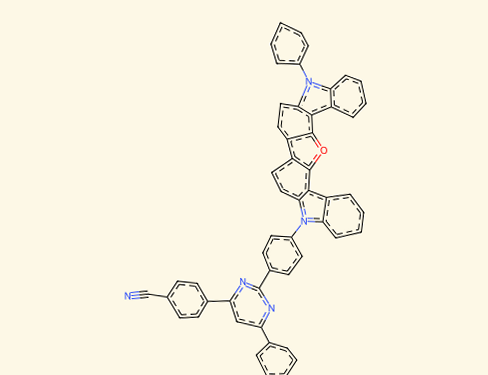 N#Cc1ccc(-c2cc(-c3ccccc3)nc(-c3ccc(-n4c5ccccc5c5c6oc7c(ccc8c7c7ccccc7n8-c7ccccc7)c6ccc54)cc3)n2)cc1